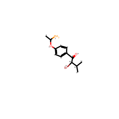 CC(P)Oc1ccc(C(=O)C(Br)C(C)C)cc1